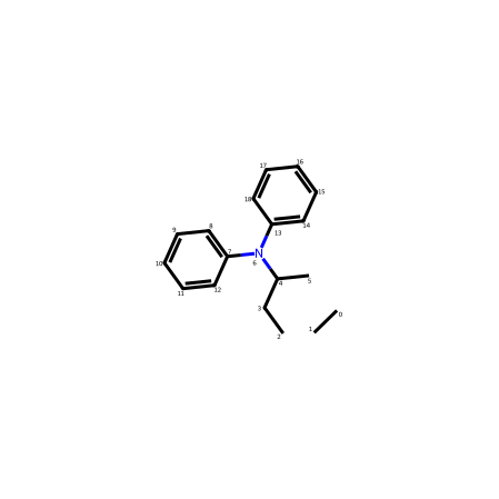 CC.CCC(C)N(c1ccccc1)c1ccccc1